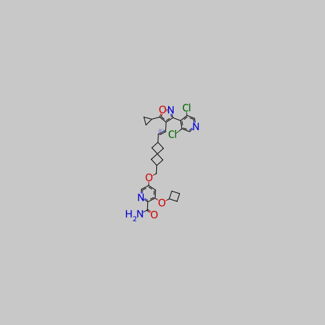 NC(=O)c1ncc(OCC2CC3(CC(/C=C/c4c(-c5c(Cl)cncc5Cl)noc4C4CC4)C3)C2)cc1OC1CCC1